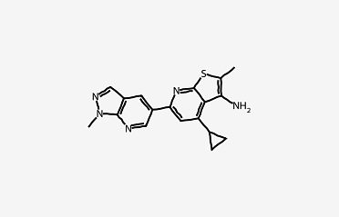 Cc1sc2nc(-c3cnc4c(cnn4C)c3)cc(C3CC3)c2c1N